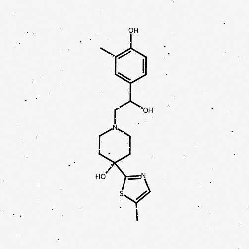 Cc1cnc(C2(O)CCN(CC(O)c3ccc(O)c(C)c3)CC2)s1